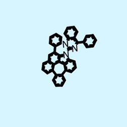 c1ccc(-c2nc(-n3c4cccc5c4c4c6c(cccc6cc(-c6ccccc6)c43)-c3ccccc3-5)nc3ccccc23)cc1